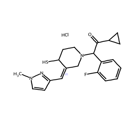 Cl.Cn1ccc(/C=C2/CN(C(C(=O)C3CC3)c3ccccc3F)CCC2S)n1